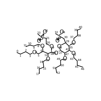 CCCCOCC(OCCCC)C(OCCCC)[C@@H](OCCS(C)(=O)=O)O[C@@H]1OC(CS(C)(=O)=O)[C@@H](OCCCC)[C@@H](OCCCC)C1OCCCC